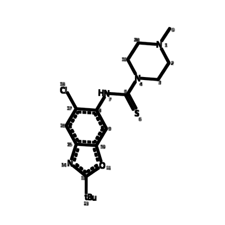 CN1CCN(C(=S)Nc2cc3oc(C(C)(C)C)nc3cc2Cl)CC1